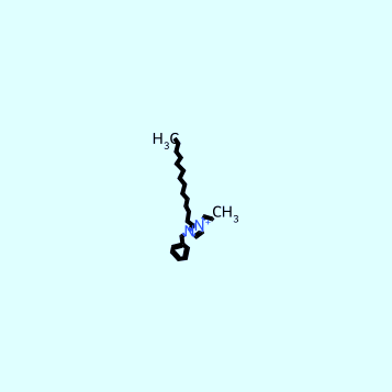 CCCCCCCCCCCCCc1n(Cc2ccccc2)cc[n+]1CCC